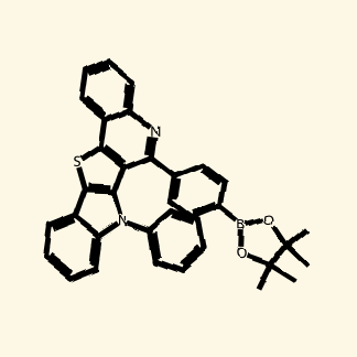 CC1(C)OB(c2ccc(-c3nc4ccccc4c4sc5c6ccccc6n(-c6ccccc6)c5c34)cc2)OC1(C)C